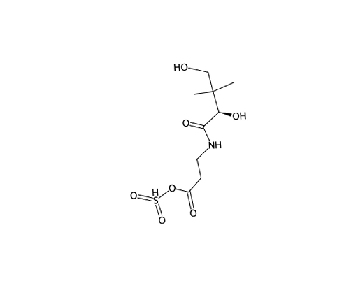 CC(C)(CO)[C@@H](O)C(=O)NCCC(=O)O[SH](=O)=O